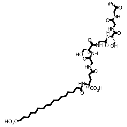 CC(C)C(=O)CNC(=O)CNC(=O)[C@H](CO)NC(=O)CNC(=O)[C@H](CO)NC(=O)CNC(=O)CC[C@H](NC(=O)CCCCCCCCCCCCCCCCC(=O)O)C(=O)O